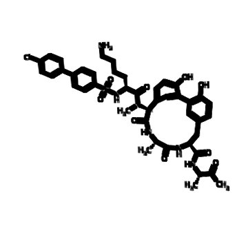 CC(=O)[C@H](C)NC(=O)[C@@H]1Cc2ccc(O)c(c2)-c2cc(ccc2O)[C@H](N(C)C(=O)[C@H](CCCCN)NS(=O)(=O)c2ccc(-c3ccc(Cl)cc3)cc2)C(=O)N[C@@H](C)C(=O)N1